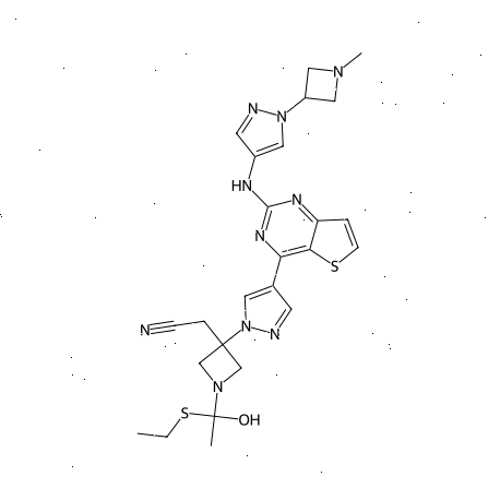 CCSC(C)(O)N1CC(CC#N)(n2cc(-c3nc(Nc4cnn(C5CN(C)C5)c4)nc4ccsc34)cn2)C1